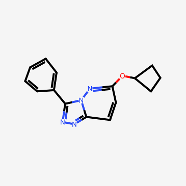 c1ccc(-c2nnc3ccc(OC4CCC4)nn23)cc1